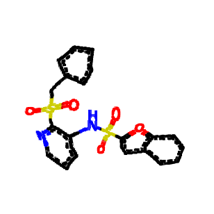 O=S(=O)(Cc1ccccc1)c1ncccc1NS(=O)(=O)c1cc2ccccc2o1